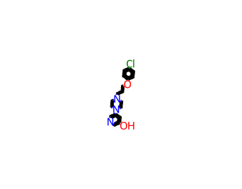 Oc1cncc(N2CCN(CCCOc3ccc(Cl)cc3)CC2)c1